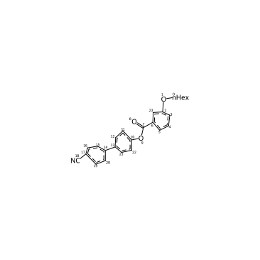 CCCCCCOc1cccc(C(=O)Oc2ccc(-c3ccc(C#N)cc3)cc2)c1